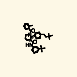 Cc1ccccc1C(=O)N1CCC[C@H](C(=O)Nc2cccc(C(C)(C)C)c2)[C@@H]1c1ccc(CCC(C)(C)C)cc1